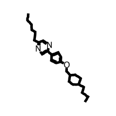 CCCCCCc1cnc(-c2ccc(OCC3CCC(CCCC)CC3)cc2)cn1